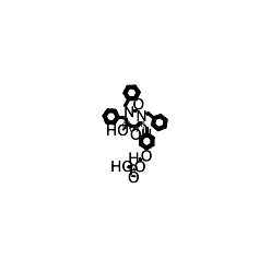 O=C1N(Cc2ccccc2)C(c2ccccc2)[C@H](O)[C@@H](O)[C@@H](Cc2ccc(OCO[PH](=O)O)cc2)N1Cc1ccccc1